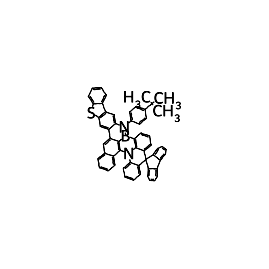 CC(C)(C)c1ccc(N2B3c4cccc5c4N(c4ccccc4C54c5ccccc5-c5ccccc54)c4c3c(cc3ccccc43)-c3cc4sc5ccccc5c4cc32)cc1